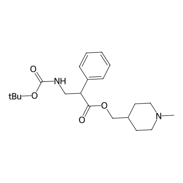 CN1CCC(COC(=O)C(CNC(=O)OC(C)(C)C)c2ccccc2)CC1